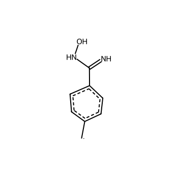 [CH2]c1ccc(C(=N)NO)cc1